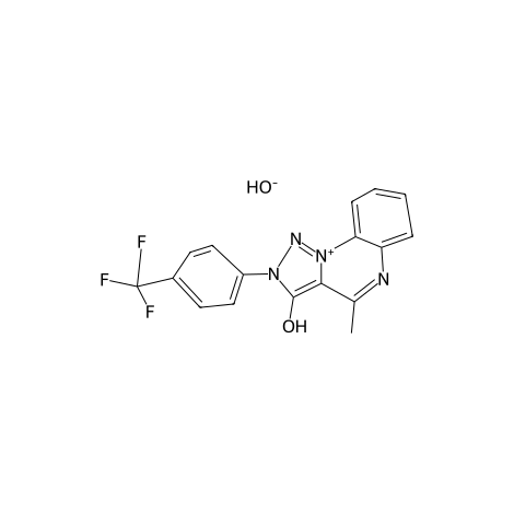 Cc1nc2ccccc2[n+]2nn(-c3ccc(C(F)(F)F)cc3)c(O)c12.[OH-]